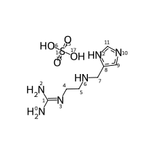 NC(N)=NCCNCc1cnc[nH]1.O=S(=O)(O)O